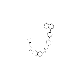 CC(CCC(=O)NC=O)N(C)Cc1cc(NC(=O)CC2CCN(c3cnc(-c4cccc5ccccc45)cn3)CC2)ccc1C=O